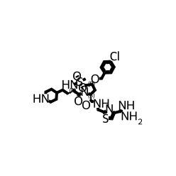 CS(=O)(=O)N[C@H](CCC1CCNCC1)C(=O)N1C[C@H](OCc2ccc(Cl)cc2)C[C@H]1C(=O)NCc1nc(C(=N)N)cs1